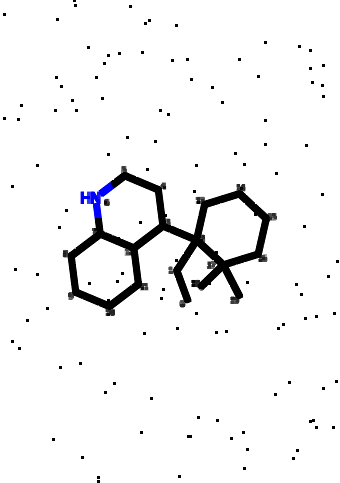 CCC1(C2CCNC3CCCCC32)CCCCC1(C)C